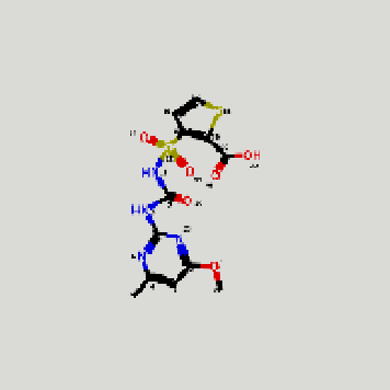 COc1cc(C)nc(NC(=O)NS(=O)(=O)c2ccsc2C(=O)O)n1